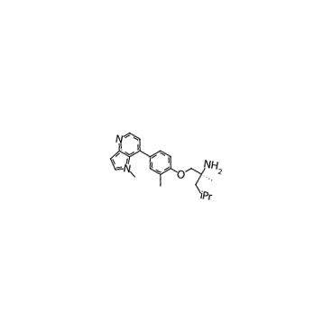 Cc1cc(-c2ccnc3ccn(C)c23)ccc1OC[C@@](C)(N)CC(C)C